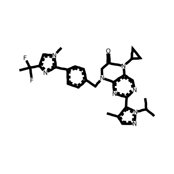 Cc1cnn(C(C)C)c1-c1ncc2c(n1)N(Cc1ccc(-c3nc(C(C)(F)F)cn3C)cc1)CC(=O)N2C1CC1